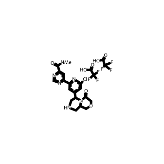 CNC(=O)c1cc(-c2cc(C3CNCC4COCC(=O)N43)cc(Cl)n2)ncn1.O=C(O)C(F)(F)F.O=C(O)C(F)(F)F